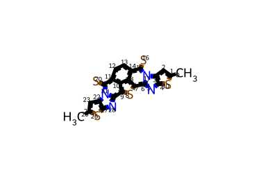 Cc1cc2c(nc3c4sc5c6c(ccc(c(=S)n23)c46)c(=S)n2c3cc(C)sc3nc52)s1